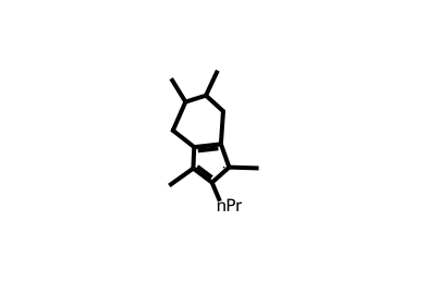 CCCC1=C(C)C2=C(CC(C)C(C)C2)[C]1C